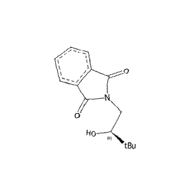 CC(C)(C)[C@@H](O)CN1C(=O)c2ccccc2C1=O